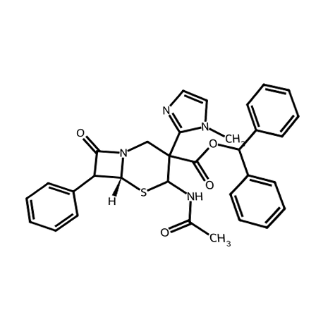 CC(=O)NC1S[C@@H]2C(c3ccccc3)C(=O)N2CC1(C(=O)OC(c1ccccc1)c1ccccc1)c1nccn1C